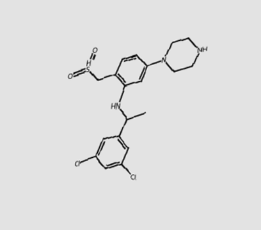 CC(Nc1cc(N2CCNCC2)ccc1C[SH](=O)=O)c1cc(Cl)cc(Cl)c1